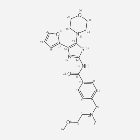 COCCN(C)Cc1ccc(C(=O)Nc2nc(-c3ccco3)c(N3CCOCC3)s2)cc1